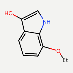 CCOc1cccc2c(O)c[nH]c12